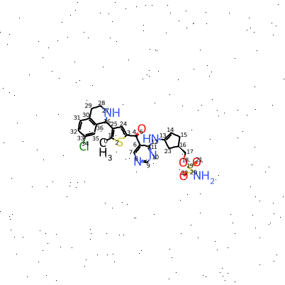 Cc1sc(C(=O)c2cncnc2NC2=CC[C@@H](COS(N)(=O)=O)C2)cc1C1NCCc2ccc(Cl)cc21